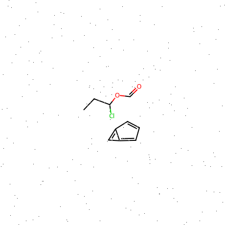 CCC(Cl)OC=O.c1cc2cc-2c1